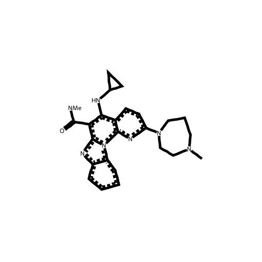 CNC(=O)c1c(NC2CC2)c2ccc(N3CCCN(C)CC3)nc2n2c1nc1ccccc12